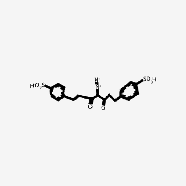 [N-]=[N+]=C(C(=O)CCc1ccc(S(=O)(=O)O)cc1)C(=O)CCc1ccc(S(=O)(=O)O)cc1